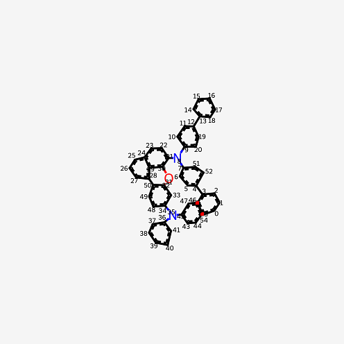 c1ccc(-c2ccc(N(c3ccc(-c4ccccc4)cc3)c3ccc4cccc5c4c3Oc3cc(N(c4ccccc4)c4ccccc4)ccc3-5)cc2)cc1